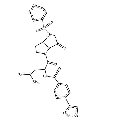 CC(C)CC(NC(=O)c1ccc(-c2cnco2)cc1)C(=O)N1CCC2C1C(=O)CN2S(=O)(=O)c1cccnc1